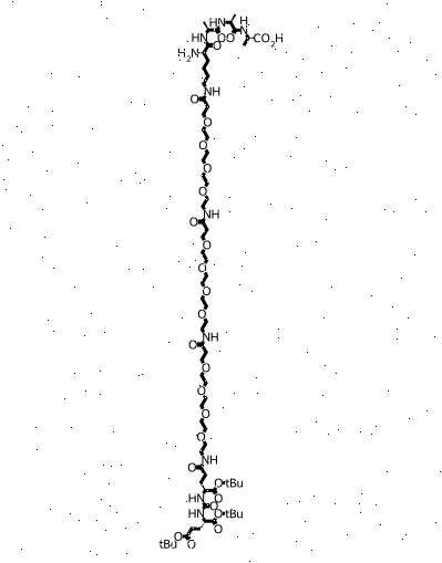 C[C@H](NC(=O)[C@H](C)NC(=O)[C@H](C)NC(=O)[C@@H](N)CCCCNC(=O)CCOCCOCCOCCOCCNC(=O)CCOCCOCCOCCOCCNC(=O)CCOCCOCCOCCOCCNC(=O)CC[C@H](NC(=O)N[C@@H](CCC(=O)OC(C)(C)C)C(=O)OC(C)(C)C)C(=O)OC(C)(C)C)C(=O)O